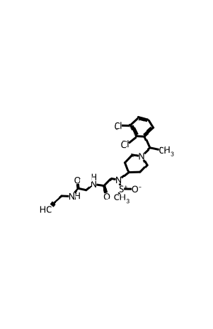 C#CCNC(=O)CNC(=O)CN(C1CCN(C(C)c2cccc(Cl)c2Cl)CC1)[S+](C)[O-]